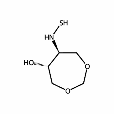 O[C@H]1COCOC[C@@H]1NS